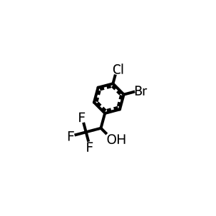 OC(c1ccc(Cl)c(Br)c1)C(F)(F)F